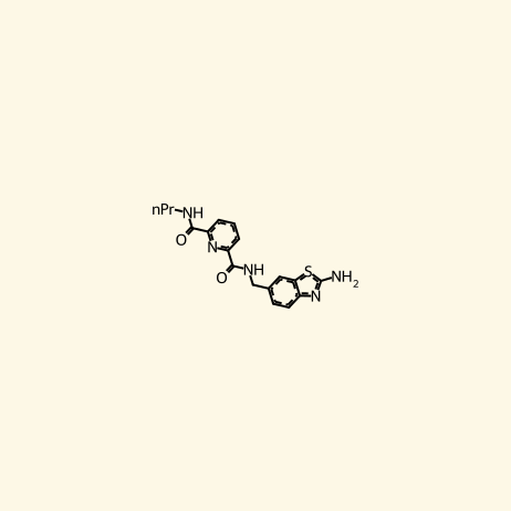 CCCNC(=O)c1cccc(C(=O)NCc2ccc3nc(N)sc3c2)n1